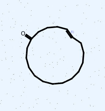 O=C1CCC/C=C/CCCCCCCCCCCC1